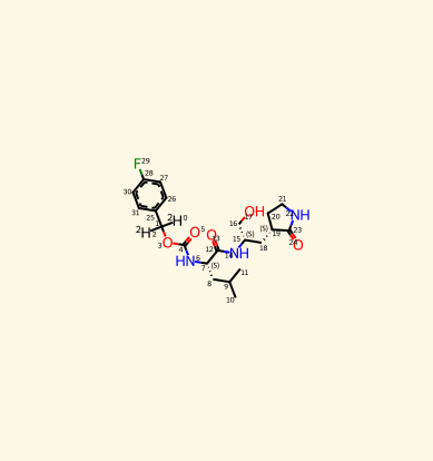 [2H]C([2H])(OC(=O)N[C@@H](CC(C)C)C(=O)N[C@H](CO)C[C@@H]1CCNC1=O)c1ccc(F)cc1